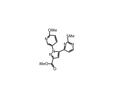 COC(=O)c1cc(-c2ccnc(SC)n2)n(-c2ccc(OC)nc2)n1